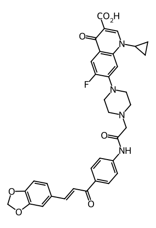 O=C(CN1CCN(c2cc3c(cc2F)c(=O)c(C(=O)O)cn3C2CC2)CC1)Nc1ccc(C(=O)/C=C/c2ccc3c(c2)OCO3)cc1